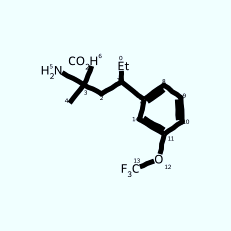 CCC(CC(C)(N)C(=O)O)c1cccc(OC(F)(F)F)c1